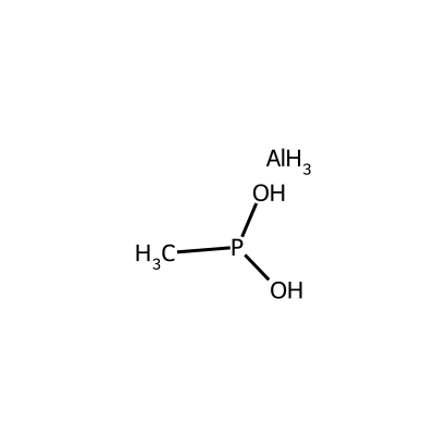 CP(O)O.[AlH3]